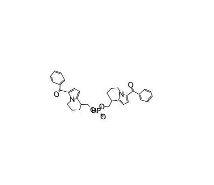 O=C(c1ccccc1)c1ccc2n1CCCC2CO[PH](=O)OCC1CCCn2c(C(=O)c3ccccc3)ccc21